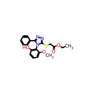 CCOC(=O)CSc1nnc(-c2c#cccc2)n1-c1c(O)cccc1OC